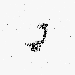 CC(=O)c1c(C)c2cnc(Nc3ccc(N4CCN(C(=O)CCCC(=O)N5CCN(S(=O)(=O)CC(N6C(=O)[C@@](C)(CC(=O)O)C[C@H](c7cccc(Cl)c7)[C@H]6c6ccc(Cl)cc6)C(C)(C)C)CC5)CC4)cn3)nc2n(C2CCCC2)c1=O